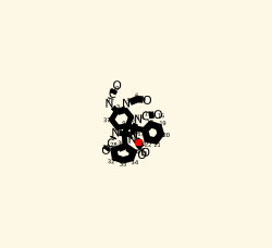 O=C=NC1=C(N=C=O)CC(C(N=C=O)(N=C=O)c2ccccc2)(C(N=C=O)(N=C=O)c2ccccc2)CC1